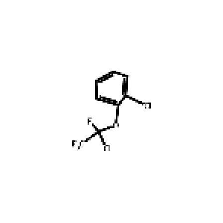 FC(F)(F)C(F)(Cl)Oc1ccccc1Cl